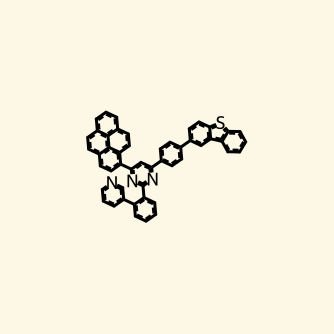 c1cncc(-c2ccccc2-c2nc(-c3ccc(-c4ccc5sc6ccccc6c5c4)cc3)cc(-c3ccc4ccc5cccc6ccc3c4c56)n2)c1